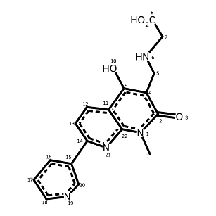 Cn1c(=O)c(CNCC(=O)O)c(O)c2ccc(-c3cccnc3)nc21